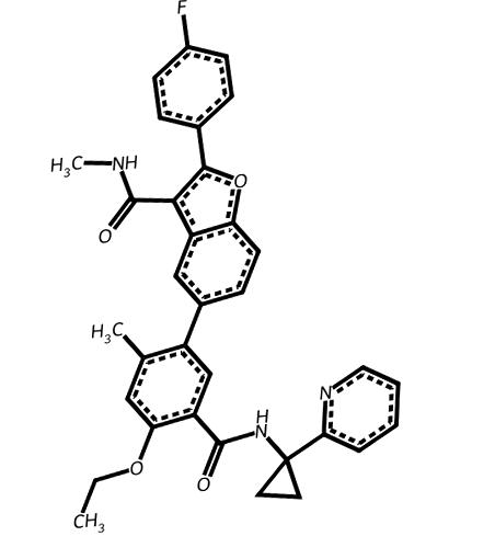 CCOc1cc(C)c(-c2ccc3oc(-c4ccc(F)cc4)c(C(=O)NC)c3c2)cc1C(=O)NC1(c2ccccn2)CC1